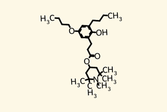 CCCCOc1cc(CCCC)c(O)c(CCC(=O)OC2CC(C)(C)N(C)C(C)(C)C2)c1